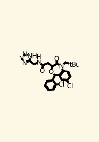 CC(C)(C)CN1C(=O)C(CC(=O)NCc2nnn[nH]2)OC(c2ccccc2Cl)c2cc(Cl)ccc21